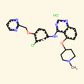 CN1CCC(Oc2cccc3ncnc(Nc4ccc(OCc5ncccn5)c(Cl)c4)c23)CC1.Cl